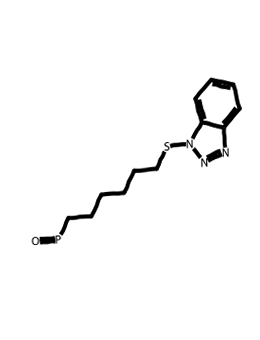 O=PCCCCCCSn1nnc2ccccc21